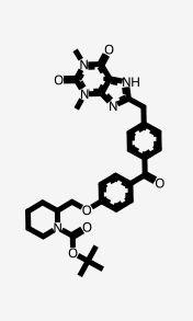 Cn1c(=O)c2[nH]c(Cc3ccc(C(=O)c4ccc(OCC5CCCCN5C(=O)OC(C)(C)C)cc4)cc3)nc2n(C)c1=O